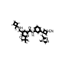 Cn1cnnc1C[C@]1(c2cccc(NC(=O)c3cc(CNC4(C)CCC4)c4c(n3)C(C)(C)CO4)c2)C[C@H](C#N)C1